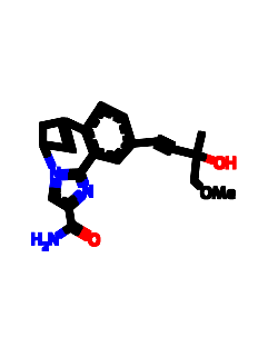 COCC(C)(O)C#Cc1ccc2c(c1)-c1nc(C(N)=O)cn1C1C=C2C1